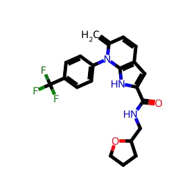 C=C1C=Cc2cc(C(=O)NCC3CCCO3)[nH]c2N1c1ccc(C(F)(F)F)cc1